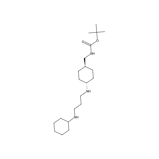 CC(C)(C)OC(=O)NC[C@H]1CC[C@H](NCCCNC2CCCCC2)CC1